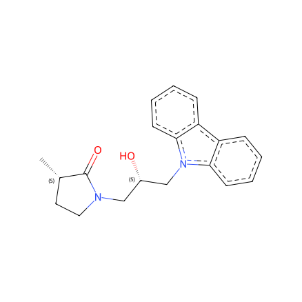 C[C@H]1CCN(C[C@H](O)Cn2c3ccccc3c3ccccc32)C1=O